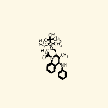 CC(=O)N1c2ccccc2[C@H](Nc2ccccc2)[C@@H](C)[C@@H]1CO[Si](C)(C)C(C)(C)C